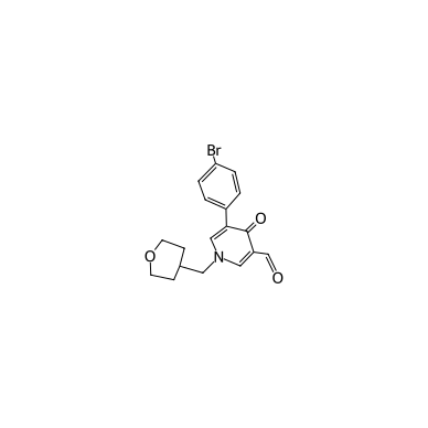 O=Cc1cn(CC2CCOCC2)cc(-c2ccc(Br)cc2)c1=O